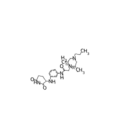 CCCN1C[C@@H](C)N(CC(=O)Nc2cccc(NC3CCC(=O)NC3=O)c2)[C@@H](C)C1